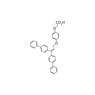 O=C(O)COc1ccc(OCC=C(c2ccc(-c3ccccc3)cc2)c2ccc(-c3ccccc3)cc2)cc1